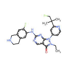 CCn1c(=O)c2cnc(Nc3cc4c(cc3F)CNCC4)nc2n1-c1ccnc(C(C)(C)CF)c1